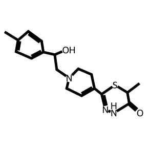 Cc1ccc(C(O)CN2CC=C(C3=NNC(=O)C(C)S3)CC2)cc1